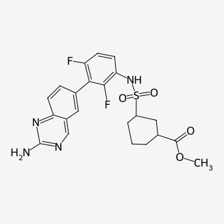 COC(=O)C1CCCC(S(=O)(=O)Nc2ccc(F)c(-c3ccc4nc(N)ncc4c3)c2F)C1